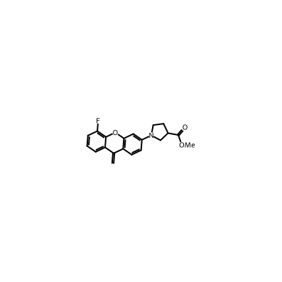 C=C1c2ccc(N3CCC(C(=O)OC)C3)cc2Oc2c(F)cccc21